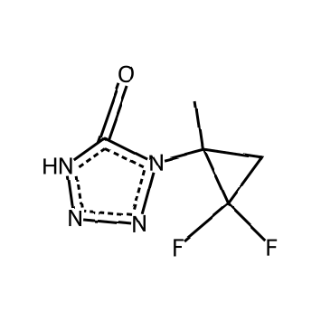 CC1(n2nn[nH]c2=O)CC1(F)F